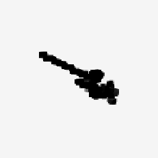 CCCCCCCCCCCCCCCc1ccccc1C[C@](O)(CCC)Sc1ccc2cc(C(=O)OC)c(OC)nc2c1